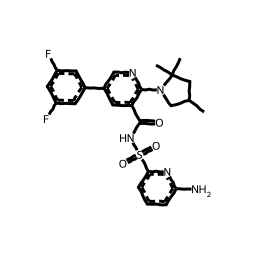 CC1CN(c2ncc(-c3cc(F)cc(F)c3)cc2C(=O)NS(=O)(=O)c2cccc(N)n2)C(C)(C)C1